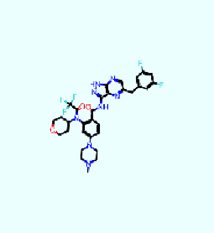 CN1CCN(c2ccc(C(=O)Nc3n[nH]c4ncc(Cc5cc(F)cc(F)c5)nc34)c(N(C(=O)C(F)(F)F)C3CCOCC3)c2)CC1